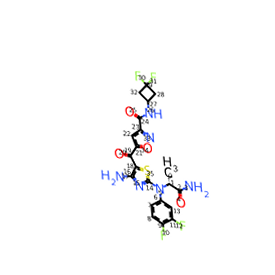 C[C@H](C(N)=O)N(c1ccc(F)c(F)c1)c1nc(N)c(C(=O)c2cc(C(=O)NC3CC(F)(F)C3)no2)s1